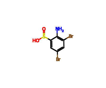 Nc1c(Br)cc(Br)cc1S(=O)O